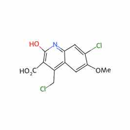 COc1cc2c(CCl)c(C(=O)O)c(O)nc2cc1Cl